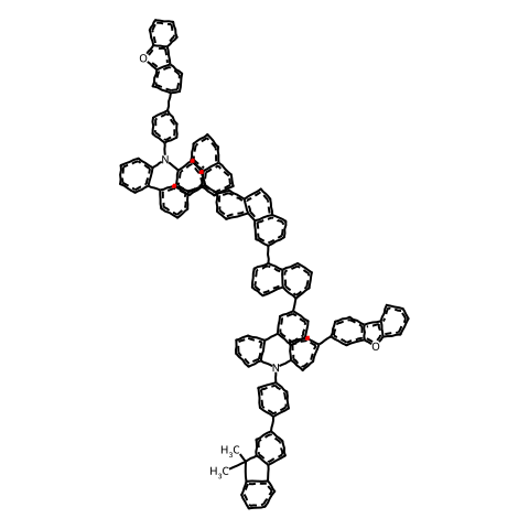 CC1(C)c2ccccc2-c2ccc(-c3ccc(N(c4ccc(-c5ccc6c(c5)oc5ccccc56)cc4)c4ccccc4-c4cccc(-c5cccc6c(-c7ccc8ccc9cc(-c%10ccc(N(c%11ccc(-c%12ccc%13c(c%12)oc%12ccccc%12%13)cc%11)c%11ccccc%11-c%11cccc(-c%12cccc%13ccccc%12%13)c%11)cc%10)ccc9c8c7)cccc56)c4)cc3)cc21